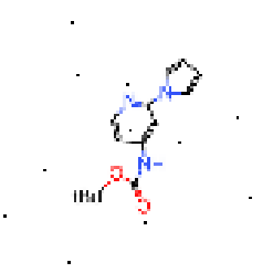 CC(C)(C)OC(=O)Nc1ccnc(-n2cccc2)c1